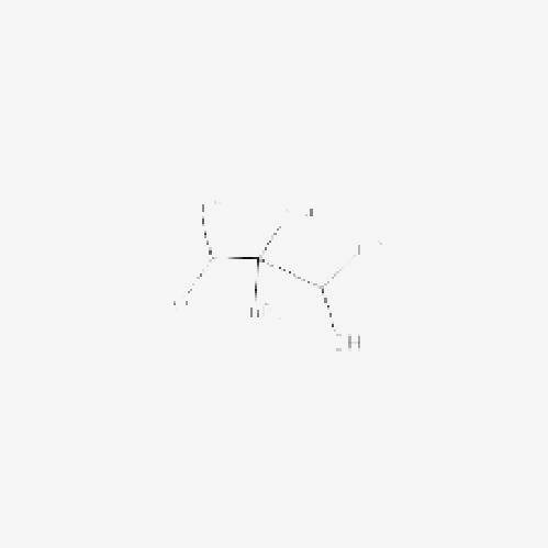 CCCCC(CCCC)(C(O)CCC)C(O)CCC